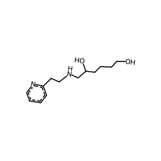 OCCCCC(O)CNCCc1ccccn1